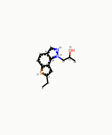 CCc1cc2c(ccc3cnn(CC(C)O)c32)s1